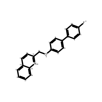 Fc1ccc(-c2ccc(OCc3ccc4ccccc4n3)cc2)cc1